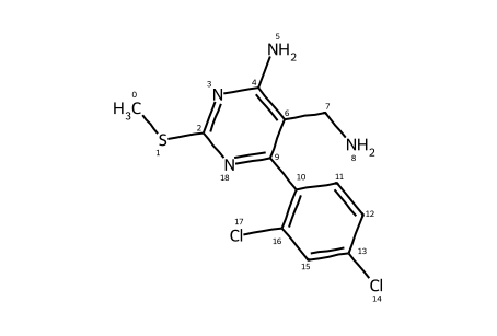 CSc1nc(N)c(CN)c(-c2ccc(Cl)cc2Cl)n1